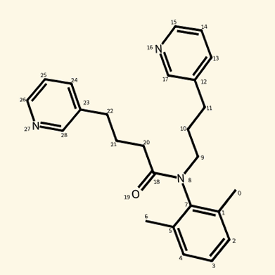 Cc1cccc(C)c1N(CCCc1cccnc1)C(=O)CCCc1cccnc1